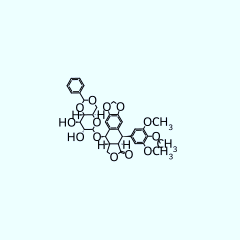 COc1cc([C@@H]2c3cc4c(cc3[C@H](OC3O[C@@H]5COC(c6ccccc6)O[C@H]5[C@H](O)[C@H]3O)[C@H]3COC(=O)[C@H]23)OCO4)cc(OC)c1OC